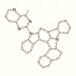 Cc1nc(-n2c3ccccc3c3c4c5c6ccccc6ccc5n5c6ccccc6c(cc32)c45)nc2cccnc12